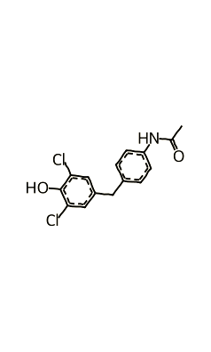 CC(=O)Nc1ccc(Cc2cc(Cl)c(O)c(Cl)c2)cc1